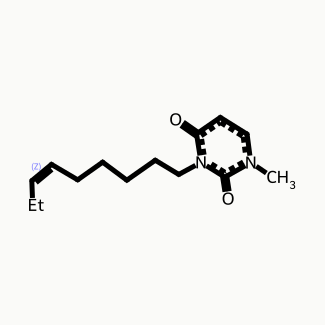 CC/C=C\CCCCCn1c(=O)ccn(C)c1=O